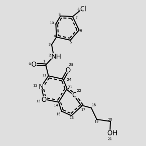 O=C(NCc1ccc(Cl)cc1)c1noc2ccc(CCCO)cc2c1=O